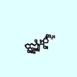 COc1cccc(C=CC(=O)Nc2sc3c(c2C#N)CCN(C(=O)O)C3)c1OC